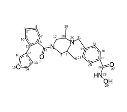 CC1CN(C(=O)c2ccccc2-c2ccoc2)CC(C)N1Cc1ccc(C(=O)NO)cc1